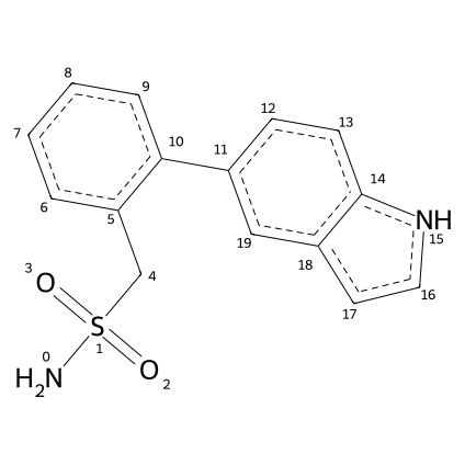 NS(=O)(=O)Cc1ccccc1-c1ccc2[nH]ccc2c1